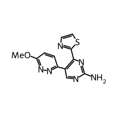 COc1ccc(-c2cnc(N)nc2-c2nccs2)nn1